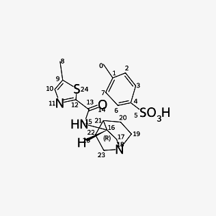 Cc1ccc(S(=O)(=O)O)cc1.Cc1cnc(C(=O)N[C@H]2CN3CCC2CC3)s1